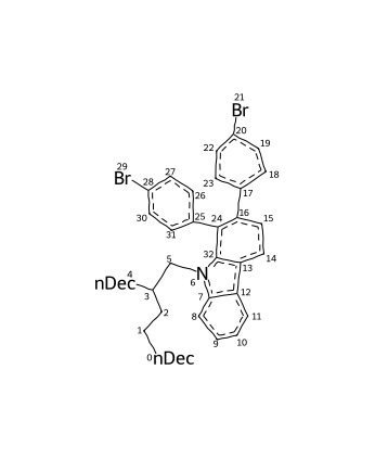 CCCCCCCCCCCCC(CCCCCCCCCC)Cn1c2ccccc2c2ccc(-c3ccc(Br)cc3)c(-c3ccc(Br)cc3)c21